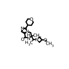 COC1CN(C(C)C2(C)Cn3c(cnc3C3CCOCC3)C(=O)N2)C1